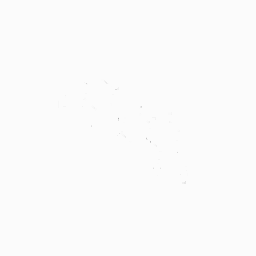 Cc1c(Br)cccc1-c1ccn2c(=O)c(C=O)ccc2c1